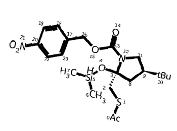 CC(=O)SC[C@@]1(O[SiH](C)C)C[C@H](C(C)(C)C)CN1C(=O)OCc1ccc([N+](=O)[O-])cc1